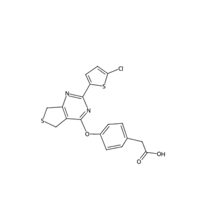 O=C(O)Cc1ccc(Oc2nc(-c3ccc(Cl)s3)nc3c2CSC3)cc1